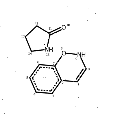 C1=Cc2ccccc2ON1.O=C1CCCN1